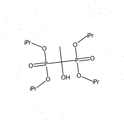 CC(C)OP(=O)(OC(C)C)C(C)(O)P(=O)(OC(C)C)OC(C)C